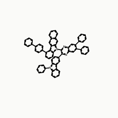 c1ccc(-c2ccc(-c3cccc4c3c3cc5ccccc5cc3n4-c3nc4cc(-c5ccccc5)c(-c5ccccc5)cc4nc3-c3ccc4c(c3)c3ccccc3n4-c3ccccc3)cc2)cc1